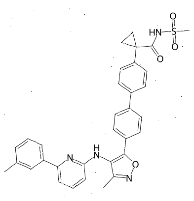 Cc1cccc(-c2cccc(Nc3c(C)noc3-c3ccc(-c4ccc(C5(C(=O)NS(C)(=O)=O)CC5)cc4)cc3)n2)c1